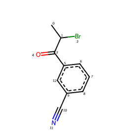 CC(Br)C(=O)c1cccc(C#N)c1